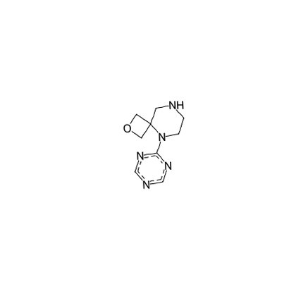 c1ncnc(N2CCNCC23COC3)n1